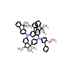 COc1ccc(N(c2ccc(C3(C)c4cc(N(c5ccc(OC)c(-c6ccccc6)c5)c5ccc6c(c5)C(C)(C)c5ccccc5-6)ccc4C(C)C3C)cc2)c2ccc3c(c2)C(C)(C)c2ccccc2-3)cc1-c1ccccc1